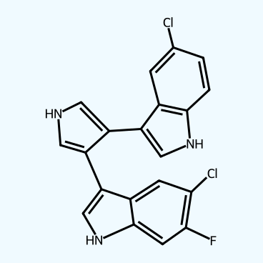 Fc1cc2[nH]cc(-c3c[nH]cc3-c3c[nH]c4ccc(Cl)cc34)c2cc1Cl